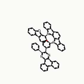 c1ccc(-c2nc3c4ccccc4c4ccccc4c3nc2-c2cccc(-n3c4ccccc4c4ccc5c6ccccc6n(-c6cccc7c6oc6ccccc67)c5c43)c2)cc1